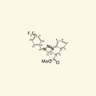 COC(=O)C(=Cc1ccccc1)c1cn(Cc2ccc(C(F)(F)F)cc2)nn1